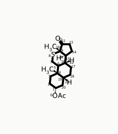 CC(=O)O[C@@H]1CC[C@]2(C)C3CS[C@]4(C)C(=O)CC[C@H]4[C@@H]3CC[C@@H]2C1